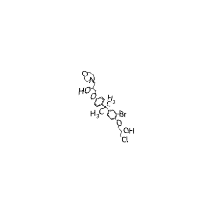 CC(C)(c1ccc(OC[C@@H](O)CN2CCOCC2)cc1)c1ccc(OC[C@H](O)CCl)c(Br)c1